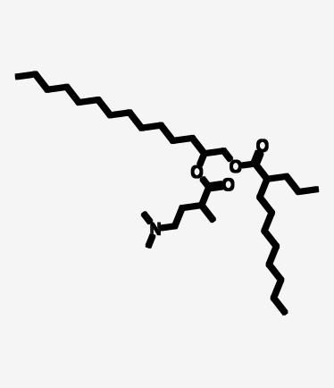 CCCCCCCCCCCCC(COC(=O)C(CCC)CCCCCCCC)OC(=O)C(C)CCN(C)C